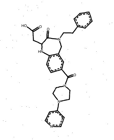 O=C(O)CC1Nc2ccc(C(=O)N3CCN(c4ccncc4)CC3)cc2CN(CCc2ccccc2)C1=O